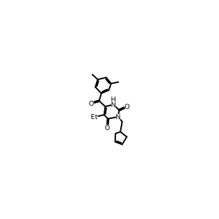 CCc1c(C(=O)c2cc(C)cc(C)c2)[nH]c(=O)n(CC2CC=CC2)c1=O